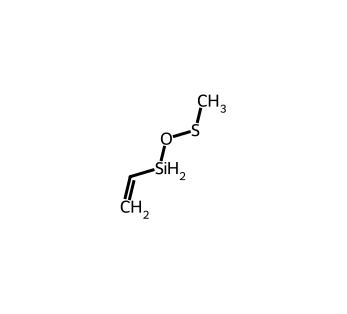 C=C[SiH2]OSC